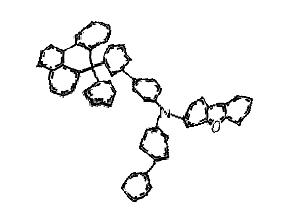 c1ccc(-c2ccc(N(c3ccc(-c4cccc(C5(c6ccccc6)c6ccccc6-c6cccc7cccc5c67)c4)cc3)c3ccc4c(c3)oc3ccccc34)cc2)cc1